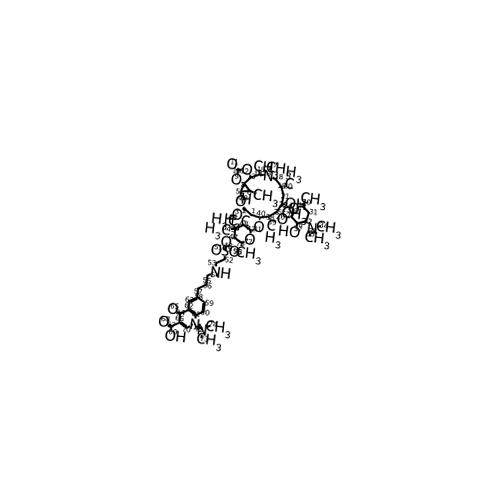 CC1C(=O)O[C@@H]2C(C)[C@@]23OC(=O)OC3[C@@H](C)N(C)C[C@H](C)CC(C)(O)[C@H](O[C@@H]2O[C@H](C)C[C@H](N(C)C)C2O)[C@@H](C)[C@@H]1O[C@H]1CC(C)(C)[C@@H](OS(=O)(=O)CCNCCCc2ccc3c(c2)c(=O)c(C(=O)O)cn3N(C)C)[C@H](C)O1